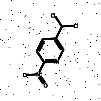 O=[N+]([O-])c1ccc(C(Cl)Cl)cn1